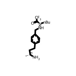 CCCCN(NCc1ccc(CC[C@@H](C)N)cc1)C(=O)C(F)(F)F